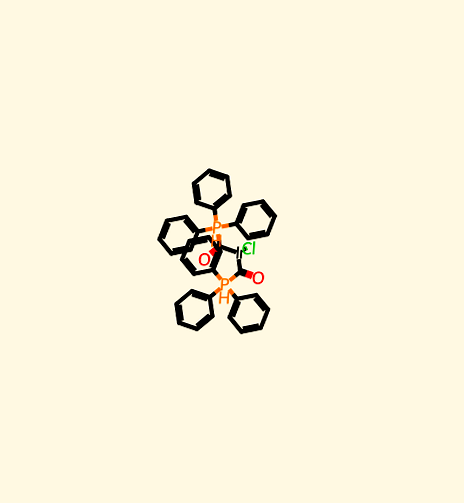 O=[C]([Ir]([Cl])[C](=O)[PH](c1ccccc1)(c1ccccc1)c1ccccc1)[PH](c1ccccc1)(c1ccccc1)c1ccccc1